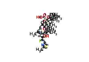 CC[C@@H](C(=O)C1([C@H](CC(=O)O)O[Si](C)(C)C(C)(C)C)CCC1)[C@@H](O[Si](C)(C)C(C)(C)C)[C@@H](C)CCC/C(C)=C/C[C@H](O)/C(F)=C/c1csc(C)n1